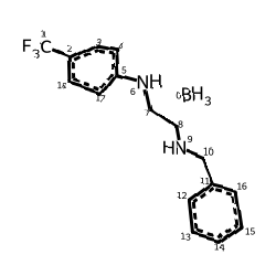 B.FC(F)(F)c1ccc(NCCNCc2ccccc2)cc1